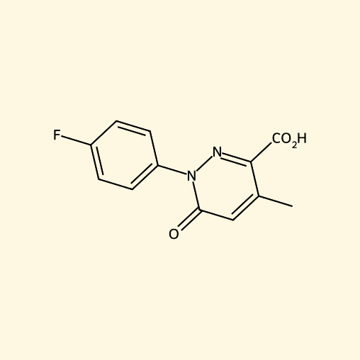 Cc1cc(=O)n(-c2ccc(F)cc2)nc1C(=O)O